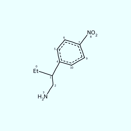 CCC(CN)c1[c]cc([N+](=O)[O-])cc1